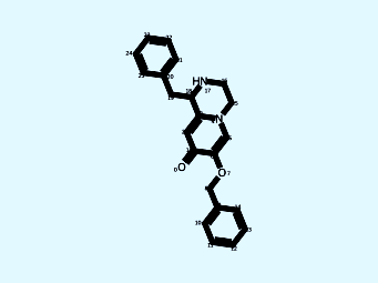 O=c1cc2n(cc1OCc1ccccc1)CCNC2Cc1ccccc1